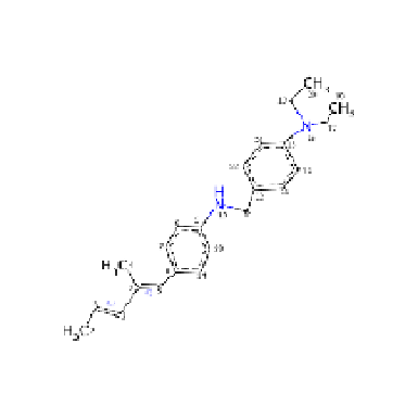 C/C=C/C(C)=C/c1ccc(NCc2ccc(N(CC)CC)cc2)cc1